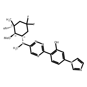 CCC[C@]1(C)CC(F)(F)C[C@H](N(C)c2cnc(-c3ccc(-n4ccnc4)cc3O)nn2)[C@H]1OC